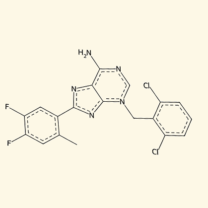 Cc1cc(F)c(F)cc1-c1nc2c(N)ncn(Cc3c(Cl)cccc3Cl)c-2n1